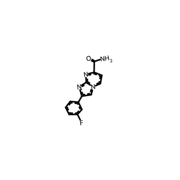 NC(=O)c1ccn2cc(-c3cccc(F)c3)nc2n1